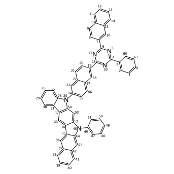 c1ccc(-c2nc(-c3ccc4ccccc4c3)nc(-c3ccc4cc(-n5c6ccccc6c6cc7c8cc9ccccc9cc8n(-c8ccccc8)c7cc65)ccc4c3)n2)cc1